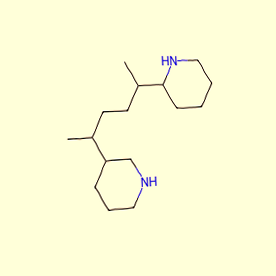 CC(CCC(C)C1CCCCN1)C1CCCNC1